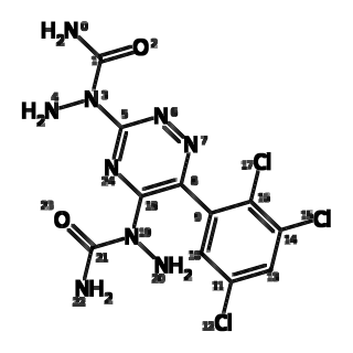 NC(=O)N(N)c1nnc(-c2cc(Cl)cc(Cl)c2Cl)c(N(N)C(N)=O)n1